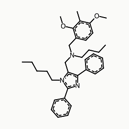 CCCCCn1c(-c2ccccc2)nc(-c2ccccc2)c1CN(CCCC)Cc1ccc(OC)c(C)c1OC